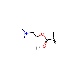 C=C(C)C(=O)OCCN(C)C.[H+]